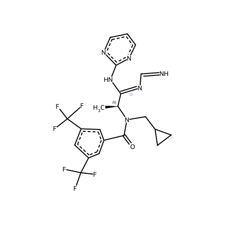 C[C@@H](/C(=N/C=N)Nc1ncccn1)N(CC1CC1)C(=O)c1cc(C(F)(F)F)cc(C(F)(F)F)c1